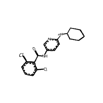 O=C(Nc1ccc(NC2CCCCC2)nc1)c1c(Cl)cccc1Cl